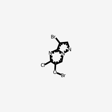 Clc1nc2c(Br)cnn2cc1OBr